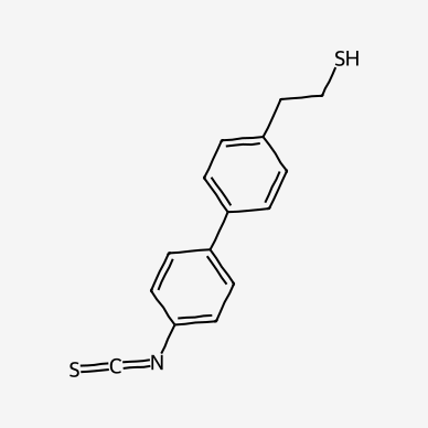 S=C=Nc1ccc(-c2ccc(CCS)cc2)cc1